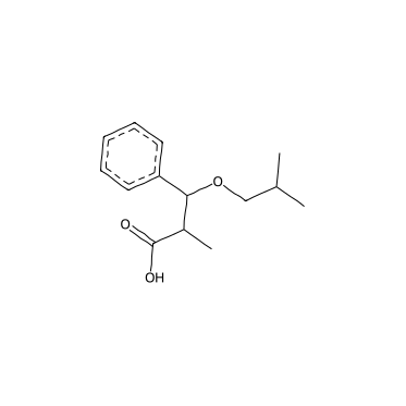 CC(C)COC(c1ccccc1)C(C)C(=O)O